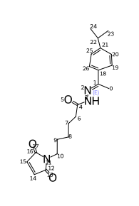 C/C(=N\NC(=O)CCCCCN1C(=O)C=CC1=O)c1ccc(C(C)C)cc1